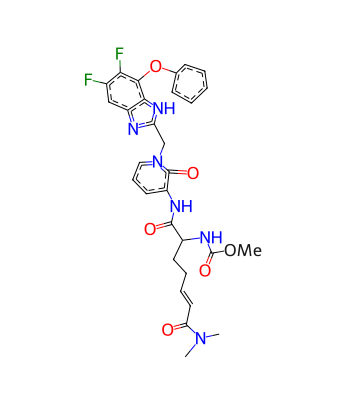 COC(=O)NC(CCC=CC(=O)N(C)C)C(=O)Nc1cccn(Cc2nc3cc(F)c(F)c(Oc4ccccc4)c3[nH]2)c1=O